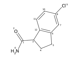 NC(=O)C1CCc2cc(Cl)ccc21